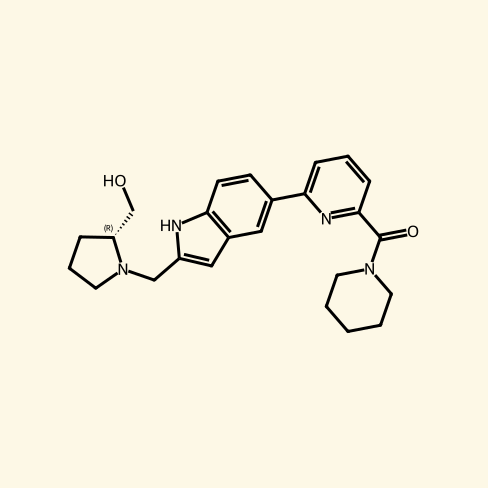 O=C(c1cccc(-c2ccc3[nH]c(CN4CCC[C@@H]4CO)cc3c2)n1)N1CCCCC1